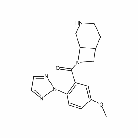 COc1ccc(-n2nccn2)c(C(=O)N2CC3CCNCC32)c1